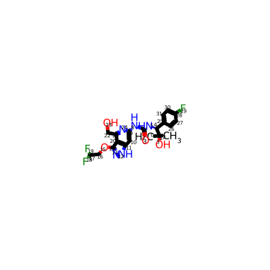 CC(C)(O)[C@@H](NC(=O)Nc1cc2[nH]nc(OCC(F)F)c2c(CO)n1)c1ccc(F)cc1